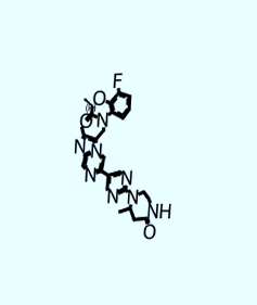 Cc1nc2cnc(-c3cnc(N4CCNC(=O)CC4C)nc3)cn2c1CN1C(=O)[C@@H](C)Oc2c(F)cccc21